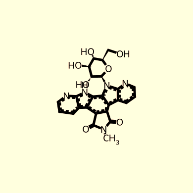 CN1C(=O)c2c(c3c4cccnc4n([C@@H]4O[C@H](CO)[C@@H](O)[C@H](O)[C@H]4O)c3c3[nH]c4ncccc4c23)C1=O